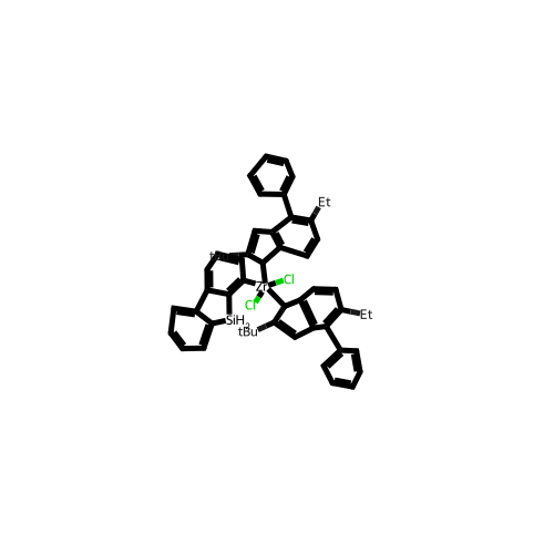 CCc1ccc2c(c1-c1ccccc1)C=C(C(C)(C)C)[CH]2[Zr]([Cl])([Cl])([c]1cccc2c1[SiH2]c1ccccc1-2)[CH]1C(C(C)(C)C)=Cc2c1ccc(CC)c2-c1ccccc1